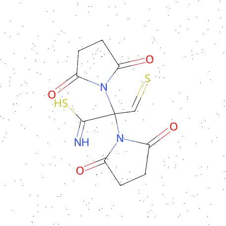 N=C(S)C(C=S)(N1C(=O)CCC1=O)N1C(=O)CCC1=O